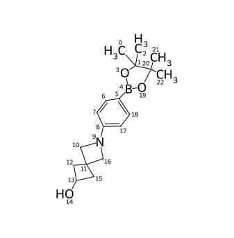 CC1(C)OB(c2ccc(N3CC4(CC(O)C4)C3)cc2)OC1(C)C